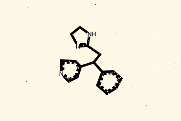 c1ccc(C(CC2=NCCN2)c2ccncc2)cc1